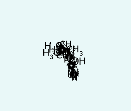 CN(c1cnc(-c2ccc(-c3ncncn3)cc2O)cn1)C1CC(C)(C)NC(C)(C)C1